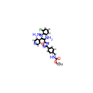 CC(C)(C)OC(=O)NCc1ccc(-c2noc(/C(N)=C(\c3ccncc3)N(N)c3ccccc3F)n2)cc1